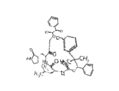 CC(C)C[C@H](NC(=O)OC(c1ccccc1)C(C)(C)c1cccc(Cl)c1)C(=O)N[C@@H](C[C@@H]1CCNC1=O)C(=O)COC(=O)C(=O)c1ccccc1